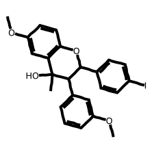 COc1cccc(C2C(c3ccc(I)cc3)Oc3ccc(OC)cc3C2(C)O)c1